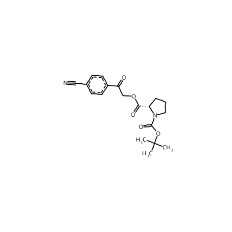 CC(C)(C)OC(=O)N1CCC[C@H]1C(=O)OCC(=O)c1ccc(C#N)cc1